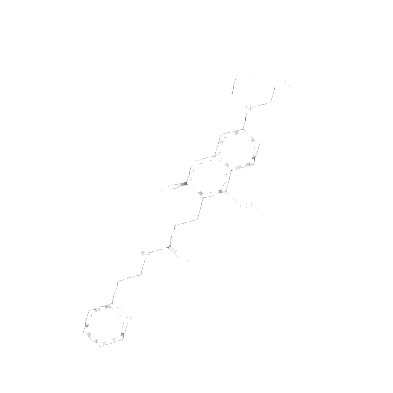 CCN(CC)c1ccc2c(C)c(CCC(=O)NCCc3ccccn3)c(=O)oc2c1